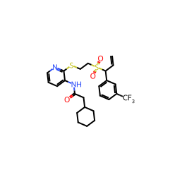 C=CC(c1cccc(C(F)(F)F)c1)S(=O)(=O)CCSc1ncccc1NC(=O)CC1CCCCC1